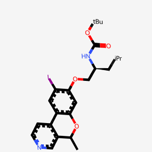 CC(C)C[C@@H](COc1cc2c(cc1I)-c1ccncc1C(C)O2)NC(=O)OC(C)(C)C